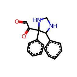 O=CC(=O)C1(c2ccccc2)NCNC1c1ccccc1